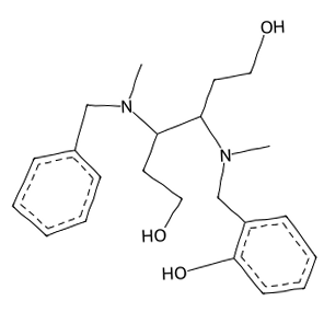 CN(Cc1ccccc1)C(CCO)C(CCO)N(C)Cc1ccccc1O